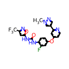 Cn1cc(-c2cc(Oc3ccc(NC(=O)Nc4cc(C(F)(F)F)no4)c(F)c3)ccn2)cn1